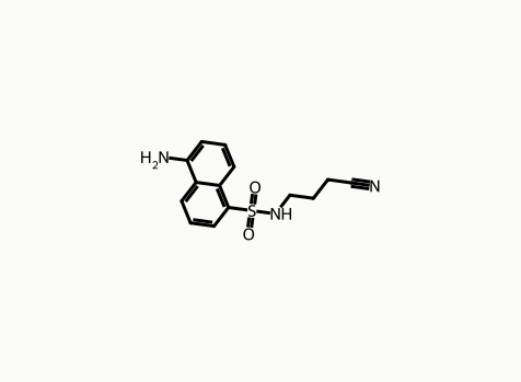 N#CCCCNS(=O)(=O)c1cccc2c(N)cccc12